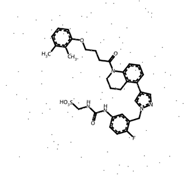 Cc1cccc(OCCCC(=O)N2CCCc3c(-c4cnn(Cc5cc(NC(=O)NCS(=O)(=O)O)ccc5F)c4)cccc32)c1C